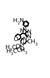 CC1CN(C(=O)OC(C)(C)C)CCN1c1ncnc2c1c(C1CCOCC1)nn2-c1cccc(N)c1